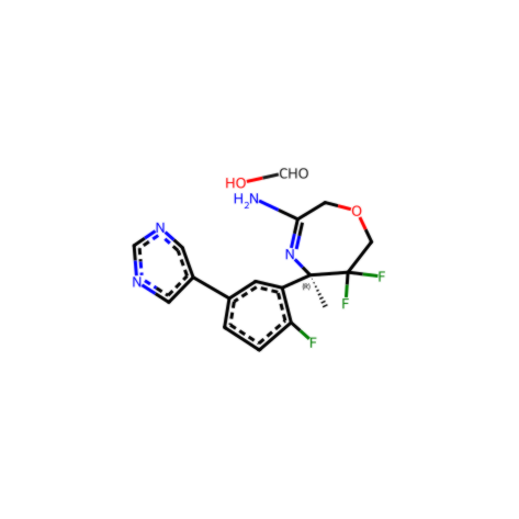 C[C@]1(c2cc(-c3cncnc3)ccc2F)N=C(N)COCC1(F)F.O=CO